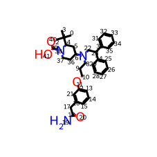 CC(C)(C)C1CC(N(CCCOc2cccc(CC(N)=O)c2)CC(c2ccccc2)c2ccccc2)CCN1C(=O)O